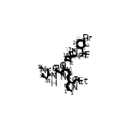 CCOc1ncccc1-c1ccc(OC2CC3(C2)CN(c2ccc(Br)cc2C(F)F)C3)c(C(=O)N[C@@H]2CCN(C)C2)n1